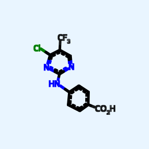 O=C(O)c1ccc(Nc2ncc(C(F)(F)F)c(Cl)n2)cc1